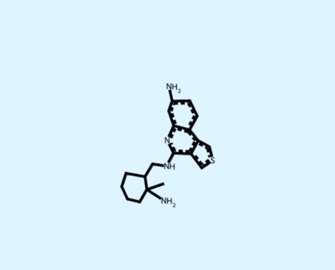 CC1(N)CCCCC1CNc1nc2cc(N)ccc2c2cscc12